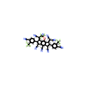 N#CC(C#N)=C1C(c2ccc(C#N)c(C(F)(F)F)c2)=C(C#N)c2c(C#N)c3c(c(OC(F)(F)F)c21)C(=C(C#N)C#N)C(c1ccc(C#N)c(C(F)(F)F)c1)=C3C#N